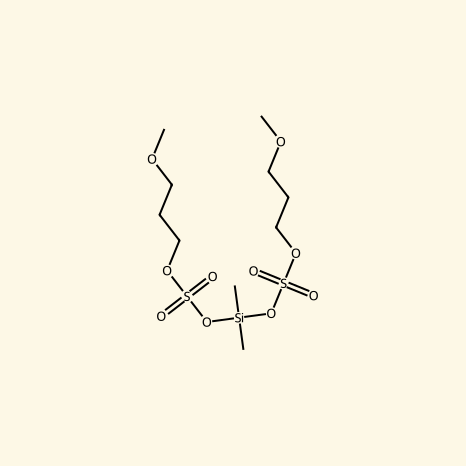 COCCCOS(=O)(=O)O[Si](C)(C)OS(=O)(=O)OCCCOC